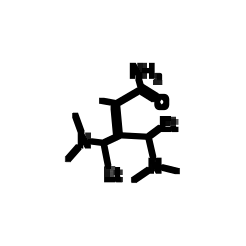 CCC(C(=C(C)C(N)=O)C(CC)N(C)C)N(C)C